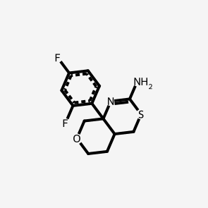 NC1=NC2(c3ccc(F)cc3F)COCCC2CS1